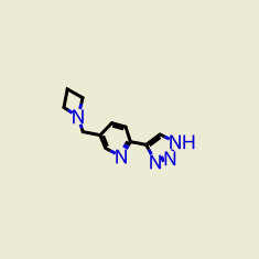 c1cc(-c2c[nH]nn2)ncc1CN1CCC1